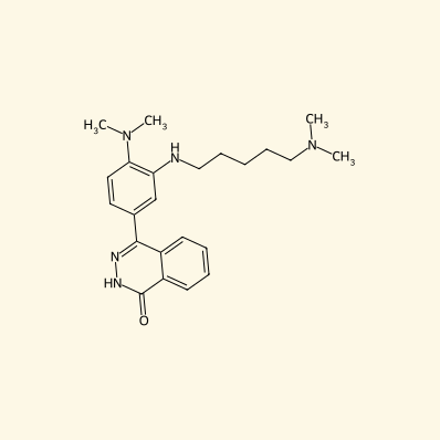 CN(C)CCCCCNc1cc(-c2n[nH]c(=O)c3ccccc23)ccc1N(C)C